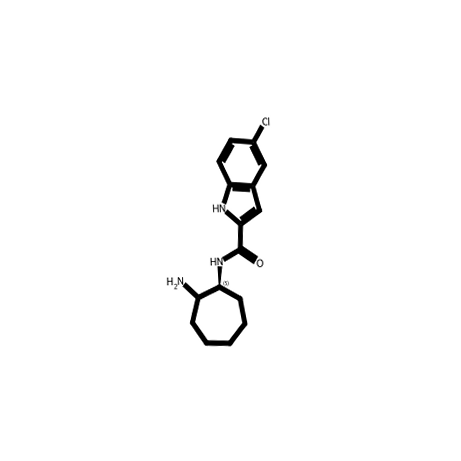 NC1CCCCC[C@@H]1NC(=O)c1cc2cc(Cl)ccc2[nH]1